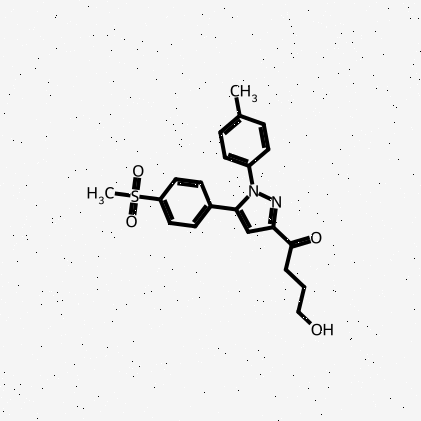 Cc1ccc(-n2nc(C(=O)CCCO)cc2-c2ccc(S(C)(=O)=O)cc2)cc1